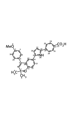 COc1ccc(C2=CC(C)(C)Oc3ccc(-c4ccc(-c5ccc(C(=O)O)cc5)[nH]4)cc32)cc1